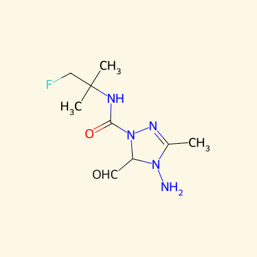 CC1=NN(C(=O)NC(C)(C)CF)C(C=O)N1N